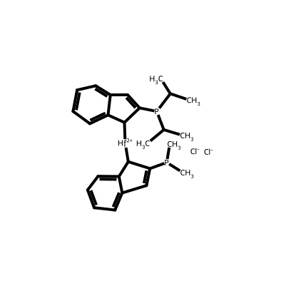 CC(C)P(C1=Cc2ccccc2[CH]1[Hf+2][CH]1C(P(C)C)=Cc2ccccc21)C(C)C.[Cl-].[Cl-]